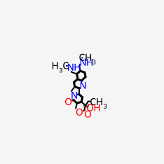 CC[C@@]1(O)C(=O)OCc2c1cc1n(c2=O)Cc2cc3c(CNC)c(CNC)ccc3nc2-1